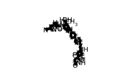 CC(C)(O)c1cc2nn([C@H]3CC[C@H](N4CCN(CCNc5cc(F)c(C6CCC(=O)NC6=O)c(F)c5)CC4)CC3)cc2cc1NC(=O)c1ccc2cc(C#N)cnn12